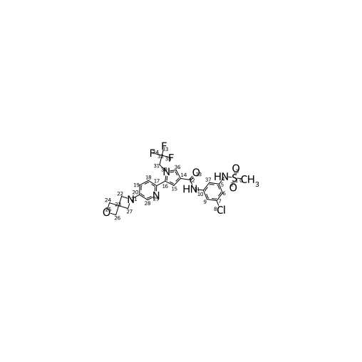 CS(=O)(=O)Nc1cc(Cl)cc(NC(=O)c2cc(-c3ccc(N4CC5(COC5)C4)cn3)n(CC(F)(F)F)c2)c1